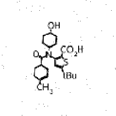 CC1=CC[C@H](C(=O)N(c2cc(C(C)(C)C)sc2C(=O)O)[C@H]2CC[C@H](O)CC2)CC1